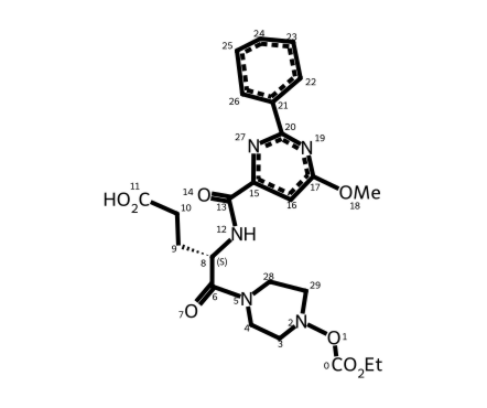 CCOC(=O)ON1CCN(C(=O)[C@H](CCC(=O)O)NC(=O)c2cc(OC)nc(-c3ccccc3)n2)CC1